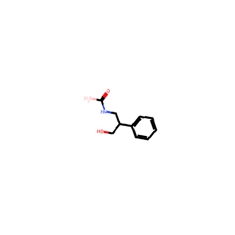 BC(=O)NCC(CO)c1ccccc1